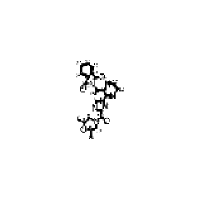 CC1CN(C(=O)c2ncn(-c3nccnc3C(C)N3C(=O)c4ccccc4C3=O)n2)CC(C)O1